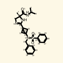 CC(C)NC(=O)[C@@]1(C)CN=C(C23CC(N(Cc4ccccc4)S(=O)(=O)c4ccccc4)(C2)C3)N1